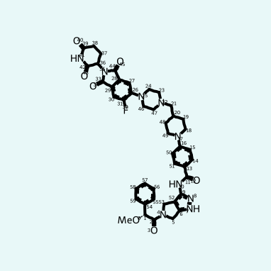 CO[C@@H](C(=O)N1Cc2[nH]nc(NC(=O)c3ccc(N4CCC(CN5CCN(c6cc7c(cc6F)C(=O)N(C6CCC(=O)NC6=O)C7=O)CC5)CC4)cc3)c2C1)c1ccccc1